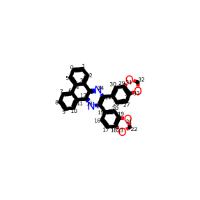 c1ccc2c(c1)c1ccccc1c1nc(-c3ccc4c(c3)OCO4)c(-c3ccc4c(c3)OCO4)nc21